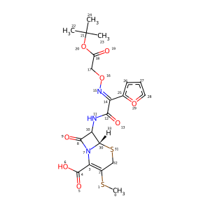 CSC1=C(C(=O)O)N2C(=O)C(NC(=O)C(=NOCC(=O)OC(C)(C)C)c3ccco3)[C@@H]2SC1